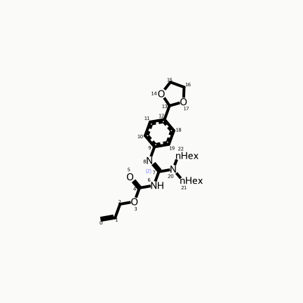 C=CCOC(=O)N/C(=N/c1ccc(C2OCCO2)cc1)N(CCCCCC)CCCCCC